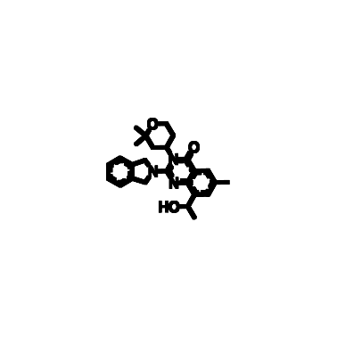 Cc1cc(C(C)O)c2nc(N3Cc4ccccc4C3)n(C3CCOC(C)(C)C3)c(=O)c2c1